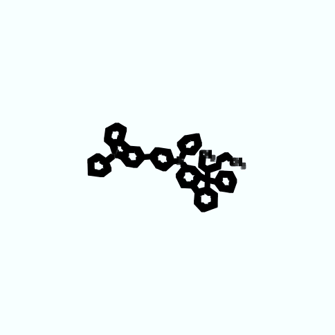 C=C/C(=C\C=C/C)C1(c2ccccc2)c2ccccc2-c2ccc(N(c3ccccc3)c3ccc(-c4ccc5c(c4)c4ccccc4n5-c4ccccc4)cc3)cc21